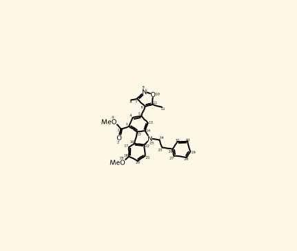 COC(=O)c1cc(-c2c(C)noc2C)cc2c1c1cc(OC)ccc1n2CCc1ccccc1